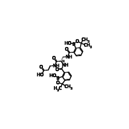 CC1(C)OB(O)c2c(C(=O)NC[C@H](NC(=O)c3cccc4c3B(O)OC4(C)C)C(=O)NCCC(=O)O)cccc21